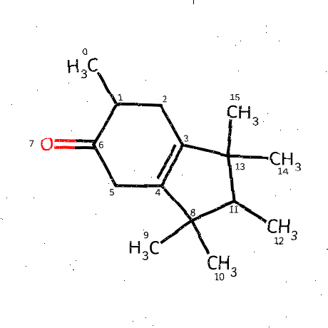 CC1CC2=C(CC1=O)C(C)(C)C(C)C2(C)C